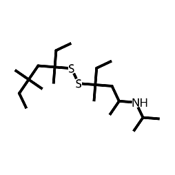 CCC(C)(C)CC(C)(CC)SSC(C)(CC)CC(C)NC(C)C